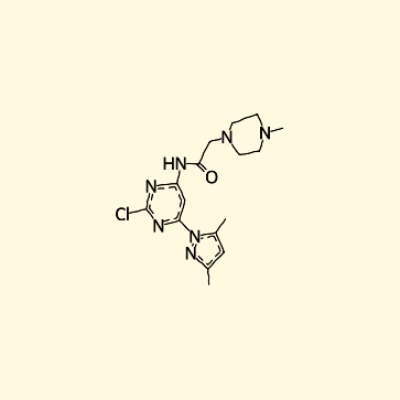 Cc1cc(C)n(-c2cc(NC(=O)CN3CCN(C)CC3)nc(Cl)n2)n1